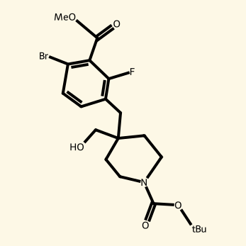 COC(=O)c1c(Br)ccc(CC2(CO)CCN(C(=O)OC(C)(C)C)CC2)c1F